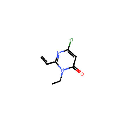 C=Cc1nc(Cl)cc(=O)n1CC